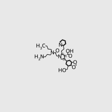 CCCCN(CCCN)C(=O)CN1C[C@H](c2cc(CO)c3c(c2)OCO3)[C@@H](C(=O)O)[C@@H]1CCc1ccccn1